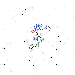 Cc1c(C(=O)n2nnnc2CN2CCCCC2)cnc2c1N(Cc1c(F)ccc(F)c1Cl)CCN2